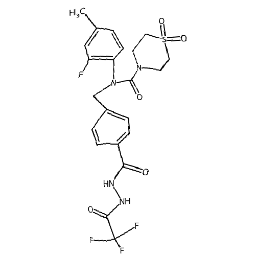 Cc1ccc(N(Cc2ccc(C(=O)NNC(=O)C(F)(F)F)cc2)C(=O)N2CCS(=O)(=O)CC2)c(F)c1